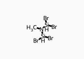 CN([SiH](Br)Br)[SiH](Br)Br